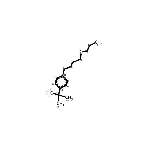 CCCOCCCCc1ccc(C(C)(C)C)cc1